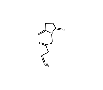 C=CCC(=O)ON1C(=O)CCC1=O